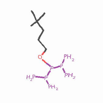 CC(C)(C)CCCOP(P(P)P)P(P)P